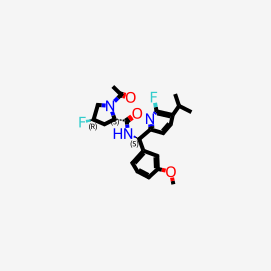 COc1cccc([C@H](NC(=O)[C@@H]2C[C@@H](F)CN2C(C)=O)c2ccc(C(C)C)c(F)n2)c1